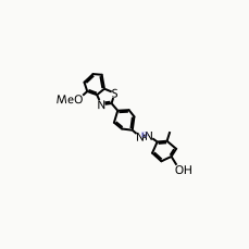 COc1cccc2sc(-c3ccc(/N=N/c4ccc(O)cc4C)cc3)nc12